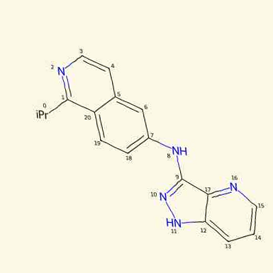 CC(C)c1nccc2cc(Nc3n[nH]c4cccnc34)ccc12